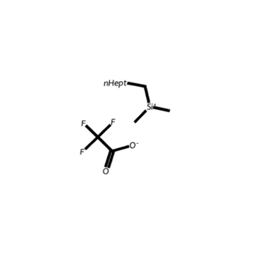 CCCCCCCC[Si+](C)C.O=C([O-])C(F)(F)F